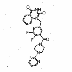 O=C(c1cc(Cn2c(=O)[nH]c(=O)c3ccccc32)cc(F)c1F)N1CCN(c2ncccn2)CC1